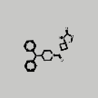 O=C1N[C@]2(CO1)C[C@@H](C(=O)N1CCC(C(c3ccccc3)c3ccccc3)CC1)C2